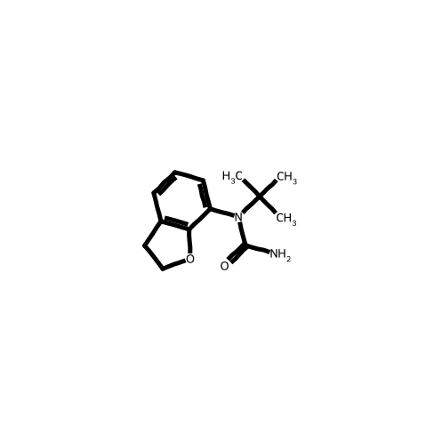 CC(C)(C)N(C(N)=O)c1cccc2c1OCC2